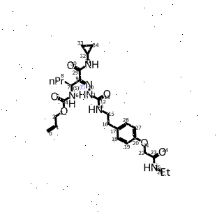 C=CCOC(=O)N[C@@H](CCC)/C(=N\NC(=O)NCCc1ccc(OCC(=O)NCC)cc1)C(=O)NC1CC1